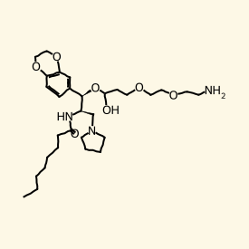 CCCCCCCC(=O)N[C@H](CN1CCCC1)[C@H](OC(O)CCOCCOCCN)c1ccc2c(c1)OCCO2